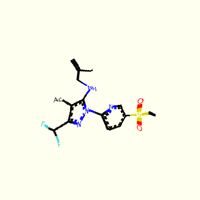 C=C(C)CNc1c(C(C)=O)c(C(F)F)nn1-c1ccc(S(C)(=O)=O)cn1